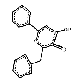 O=c1c(Cc2ccccc2)nc(-c2ccccc2)cn1O